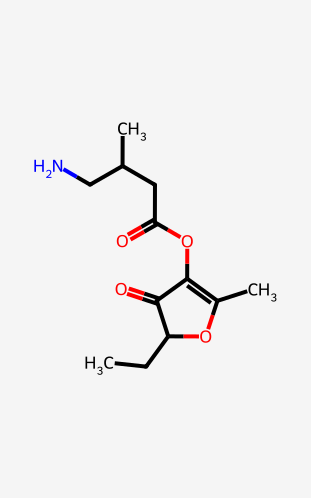 CCC1OC(C)=C(OC(=O)CC(C)CN)C1=O